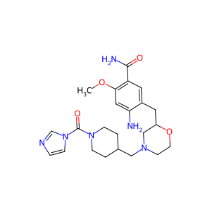 COc1cc(N)c(CC2CN(CC3CCN(C(=O)n4ccnc4)CC3)CCO2)cc1C(N)=O